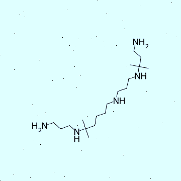 CC(C)(CCN)NCCCNCCCCC(C)(C)NCCCN